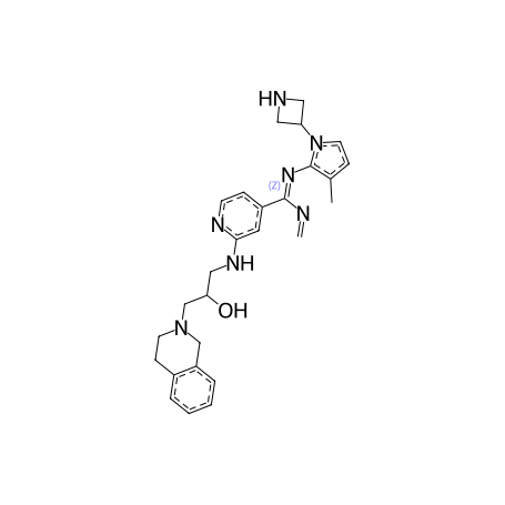 C=N/C(=N\c1c(C)ccn1C1CNC1)c1ccnc(NCC(O)CN2CCc3ccccc3C2)c1